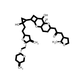 C=C1CC[C@H](CC[C@@H]2OC(CCC3(O)CC3C3CC4C3OC3CCC(CC(=O)CC5CCO[C@H]5C)O[C@@H]3C4O)CC2=C)OC1